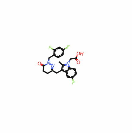 Cc1c(CC2=NN(Cc3ccc(F)cc3F)C(=O)CC2)c2cc(F)ccc2n1CC(=O)O